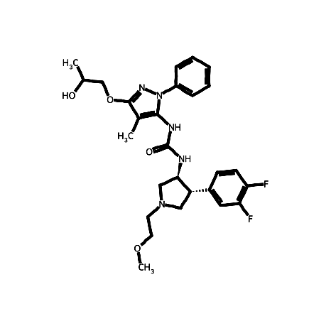 COCCN1C[C@@H](NC(=O)Nc2c(C)c(OCC(C)O)nn2-c2ccccc2)[C@H](c2ccc(F)c(F)c2)C1